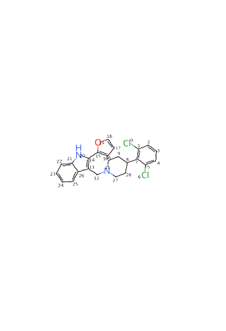 Clc1cccc(Cl)c1C1CCN(Cc2c(-c3ccco3)[nH]c3ccccc23)CC1